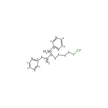 ClCCCCCC([SiH2]Cc1ccccc1)[SiH2]c1ccccc1